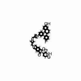 O=C1CCC(N2C(=O)c3cc4c(cc3C2=O)CN(CC2CN(CC3CN(c5ccc([C@@H]6c7ccc(O)cc7CC[C@@H]6c6ccc(F)cc6)cc5)C3)C2)C4)C(=O)N1